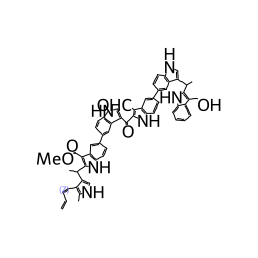 C=C/C=C\c1c(C(C)c2[nH]c3ccc(-c4ccc5[nH]cc(C(=O)c6[nH]c7ccc(-c8ccc9[nH]cc(C(C)c%10[nH]c%11ccccc%11c%10CO)c9c8)cc7c6C=O)c5c4)cc3c2C(=O)OC)c[nH]c1C